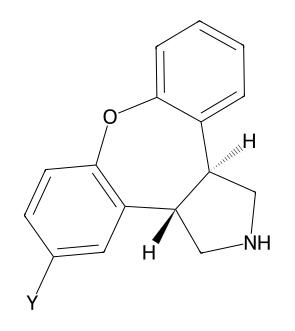 [Y][c]1ccc2c(c1)[C@H]1CNC[C@@H]1c1ccccc1O2